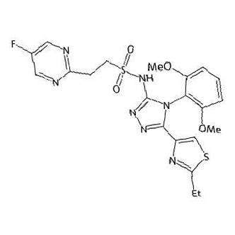 CCc1nc(-c2nnc(NS(=O)(=O)CCc3ncc(F)cn3)n2-c2c(OC)cccc2OC)cs1